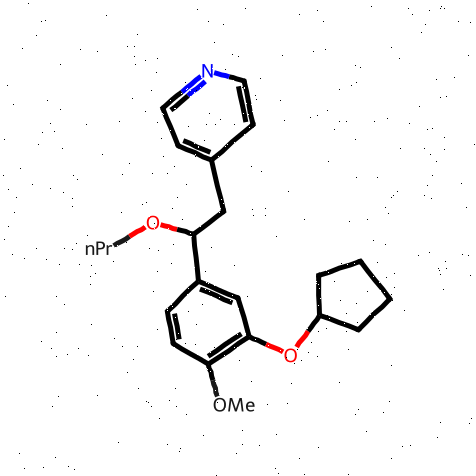 CCCOC(Cc1ccncc1)c1ccc(OC)c(OC2CCCC2)c1